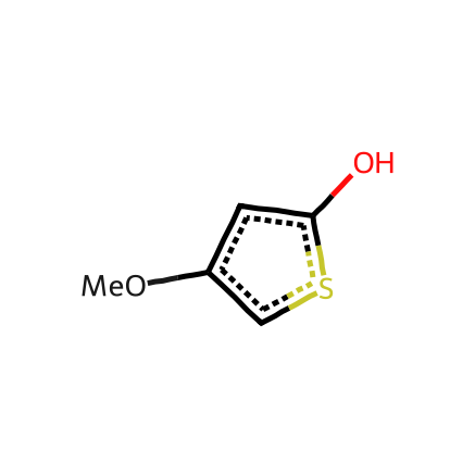 COc1csc(O)c1